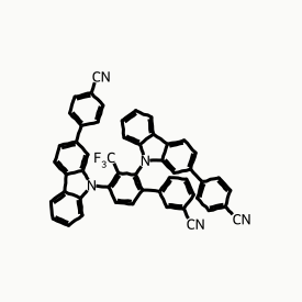 N#Cc1ccc(-c2ccc3c4ccccc4n(-c4ccc(-c5cccc(C#N)c5)c(-n5c6ccccc6c6ccc(-c7ccc(C#N)cc7)cc65)c4C(F)(F)F)c3c2)cc1